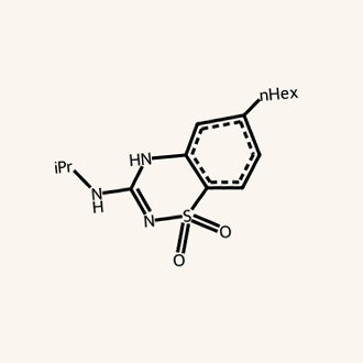 CCCCCCc1ccc2c(c1)NC(NC(C)C)=NS2(=O)=O